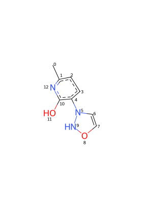 Cc1ccc(N2C=CON2)c(O)n1